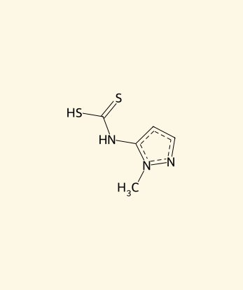 Cn1nccc1NC(=S)S